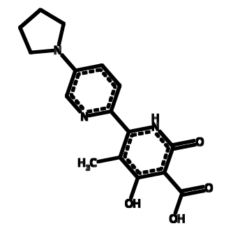 Cc1c(-c2ccc(N3CCCC3)cn2)[nH]c(=O)c(C(=O)O)c1O